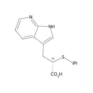 CC(C)S[C@@H](Cc1c[nH]c2ncccc12)C(=O)O